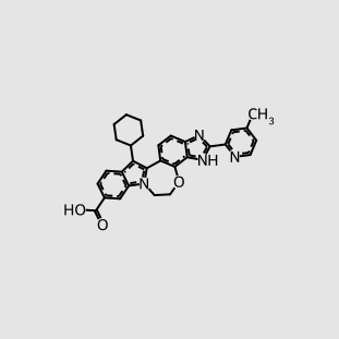 Cc1ccnc(-c2nc3ccc4c(c3[nH]2)OCCn2c-4c(C3CCCCC3)c3ccc(C(=O)O)cc32)c1